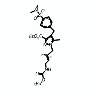 CCOC(=O)c1nn(C/C(F)=C/CNC(=O)OC(C)(C)C)c(C)c1Cc1ccc(S(=O)(=O)N(C)C)cc1